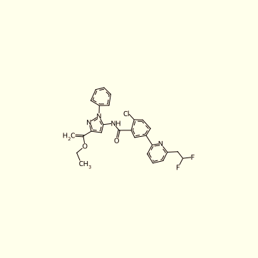 C=C(OCC)c1cc(NC(=O)c2cc(-c3cccc(CC(F)F)n3)ccc2Cl)n(-c2ccccc2)n1